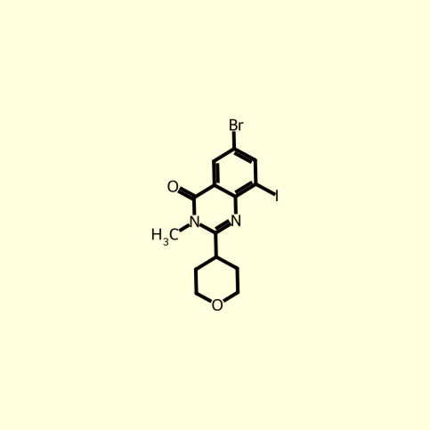 Cn1c(C2CCOCC2)nc2c(I)cc(Br)cc2c1=O